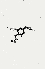 O=[N+]([O-])c1cc(N=C=S)ccc1CCBr